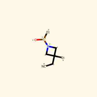 CC[S+]([O-])N1CC(CC)(CC#N)C1